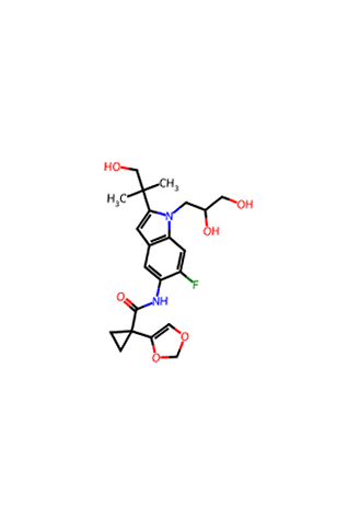 CC(C)(CO)c1cc2cc(NC(=O)C3(C4=COCO4)CC3)c(F)cc2n1CC(O)CO